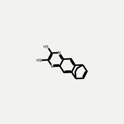 Sc1nc2cc3c(cc2nc1S)C1C=CC3CC1